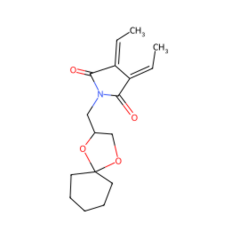 C/C=C1/C(=O)N(CC2COC3(CCCCC3)O2)C(=O)/C1=C/C